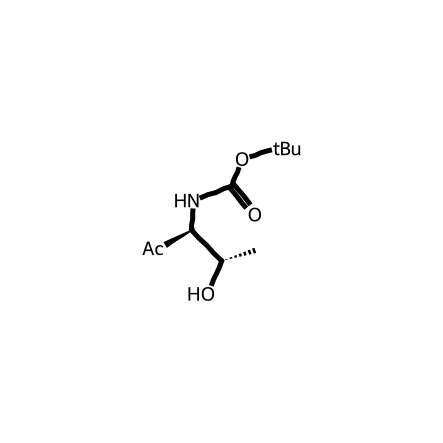 CC(=O)[C@@H](NC(=O)OC(C)(C)C)[C@H](C)O